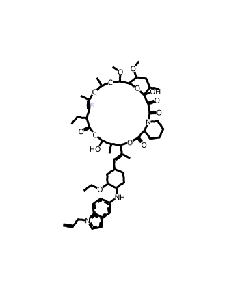 C=CCn1ccc2cc(NC3CCC(C=C(C)C4OC(=O)C5CCCCN5C(=O)C(=O)C5(O)OC(C(OC)CC(C)C/C(C)=C/C(CC)C(=O)CC(O)C4C)C(OC)CC5C)CC3OCC)ccc21